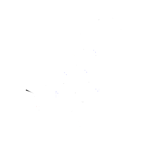 CCc1[nH]c2nc(Sc3nc4ccccc4s3)nc(NC[C@H](C)O)c2c1C=O